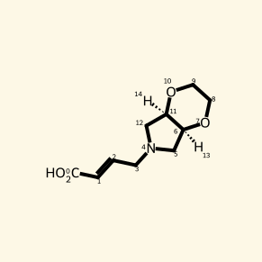 O=C(O)C=CCN1C[C@@H]2OCCO[C@@H]2C1